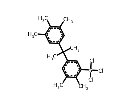 Cc1cc(C(C)(C)c2cc(C)c(C)c(S(Cl)(Cl)Cl)c2)cc(C)c1C